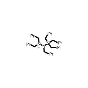 CC(C)CN([SiH](CC(C)C)CC(C)C)[Si](CC(C)C)(CC(C)C)CC(C)C